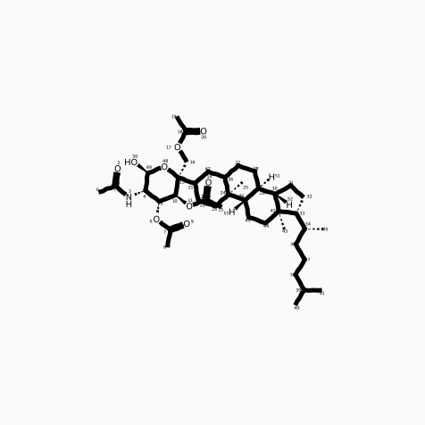 CC(=O)N[C@H]1[C@@H](OC(C)=O)[C@H](OC(C)=O)[C@](COC(C)=O)(C2CC[C@@]3(C)C(CC[C@H]4[C@@H]5CC[C@H]([C@H](C)CCCC(C)C)[C@@]5(C)CC[C@@H]43)C2)O[C@@H]1O